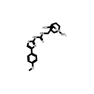 [BH3-][N+]12CCC(CC1)C(O)(CNC(=S)Nc1nc(-c3ccc(OC)cc3)cs1)C2